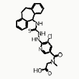 CN(CC(=O)O)C(=O)c1cnc(NNC(=S)NC2c3ccccc3CCc3ccccc32)c(Cl)c1